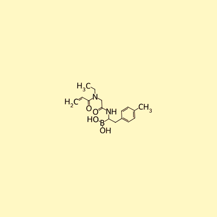 C=CC(=O)N(CC)CC(=O)NC(Cc1ccc(C)cc1)B(O)O